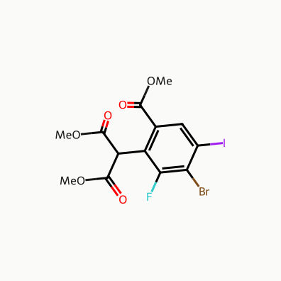 COC(=O)c1cc(I)c(Br)c(F)c1C(C(=O)OC)C(=O)OC